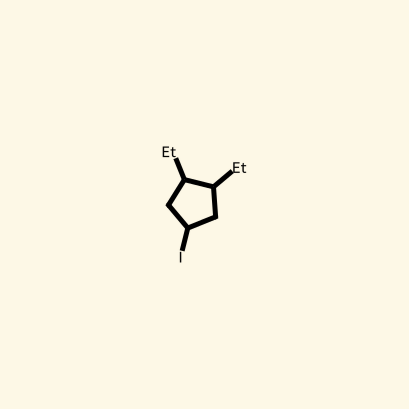 CCC1CC(I)CC1CC